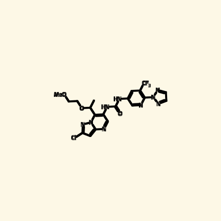 COCCOC(C)c1c(NC(=O)Nc2cnc(-n3nccn3)c(C(F)(F)F)c2)cnc2cc(Cl)nn12